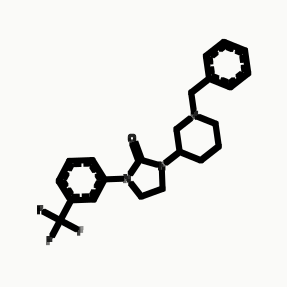 O=C1N(c2cccc(C(F)(F)F)c2)CCN1C1CCCN(Cc2ccccc2)C1